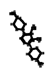 CCCC[C@H]1CC[C@H](c2ccc([C@H]3CC[C@H](CCC)CC3)c(C#N)c2C#N)CC1